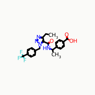 CCc1nnn(Cc2ccc(C(F)(F)F)cc2)c1C(=O)NC(C)c1ccc(C(=O)O)cc1